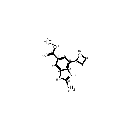 COC(=O)c1cc(C2CCO2)c2nc(N)sc2c1